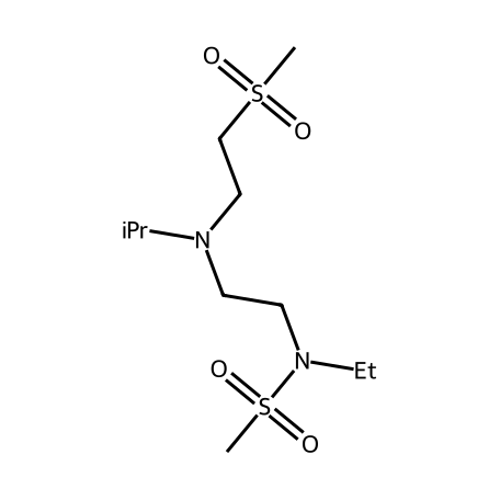 CCN(CCN(CCS(C)(=O)=O)C(C)C)S(C)(=O)=O